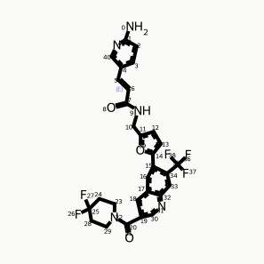 Nc1ccc(/C=C/C(=O)NCc2ccc(-c3cc4cc(C(=O)N5CCC(F)(F)CC5)cnc4cc3C(F)(F)F)o2)cn1